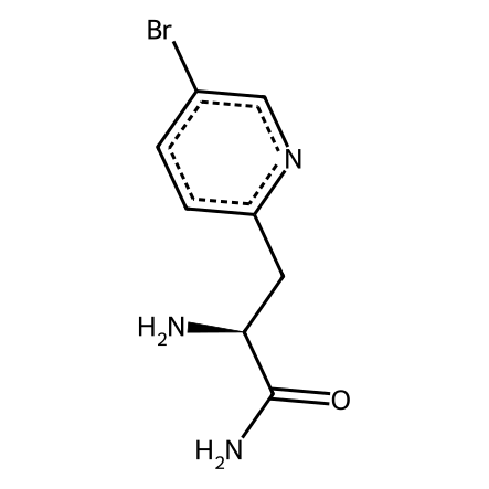 NC(=O)[C@@H](N)Cc1ccc(Br)cn1